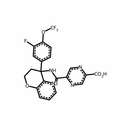 O=C(O)c1cnc(C(=O)NC2(c3ccc(OC(F)(F)F)c(F)c3)CCOc3cccnc32)cn1